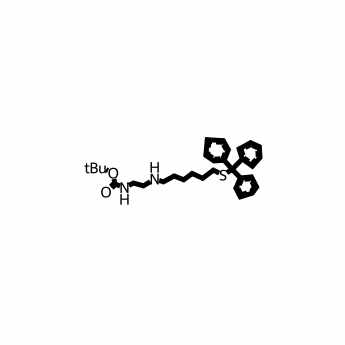 CC(C)(C)OC(=O)NCCNCCCCCCSC(c1ccccc1)(c1ccccc1)c1ccccc1